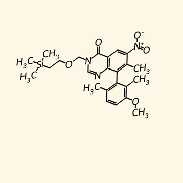 COc1ccc(C)c(-c2c(C)c([N+](=O)[O-])cc3c(=O)n(COCC[Si](C)(C)C)cnc23)c1C